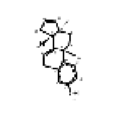 C[C@]12CC[C@H]3C(=CCc4cc(O)ccc43)[C@@H]1CC=I2